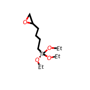 CC[O][Ti]([CH2]CCCC1CO1)([O]CC)[O]CC